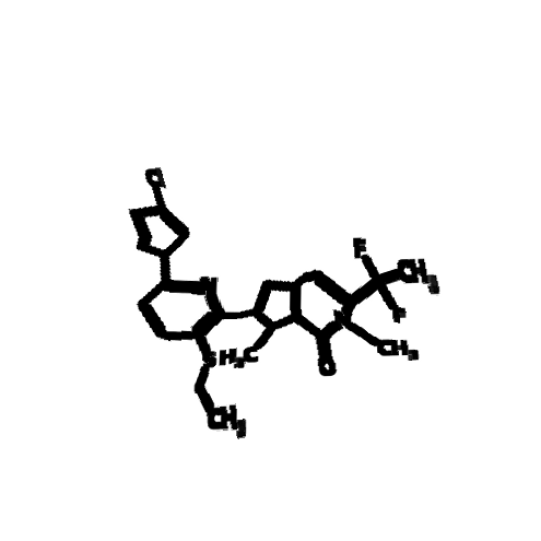 CCSc1ccc(C2C=CC(Cl)=C2)nc1C1=Cc2cc(C(C)(F)F)n(C)c(=O)c2C1C